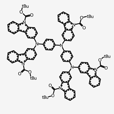 CC(C)(C)OC(=O)n1c2ccccc2c2cc(N(c3ccc(N(c4ccc5c(c4)c4ccccc4n5C(=O)OC(C)(C)C)c4ccc5c(c4)c4ccccc4n5C(=O)OC(C)(C)C)cc3)c3ccc(N(c4ccc5c(c4)c4ccccc4n5C(=O)OC(C)(C)C)c4ccc5c(c4)c4ccccc4n5C(=O)OC(C)(C)C)cc3)ccc21